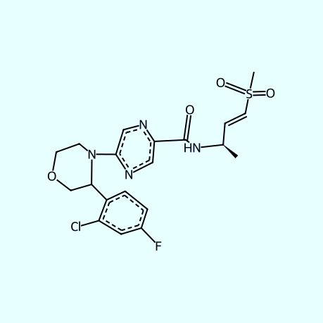 C[C@H](/C=C/S(C)(=O)=O)NC(=O)c1cnc(N2CCOCC2c2ccc(F)cc2Cl)cn1